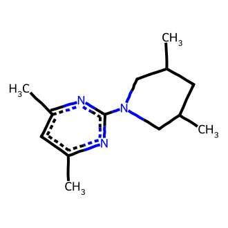 Cc1cc(C)nc(N2CC(C)CC(C)C2)n1